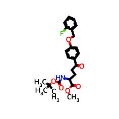 COC(=O)C(CCC(=O)c1ccc(OCc2ccccc2F)cc1)NC(=O)OC(C)(C)C